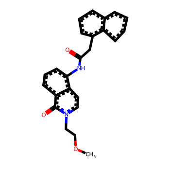 COCCn1ccc2c(NC(=O)Cc3cccc4ccccc34)cccc2c1=O